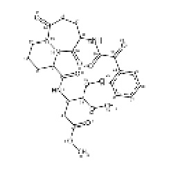 COC(=O)CC(NC(=O)C1CCCN2C(=O)CCC(NC(=O)C(=O)c3ccccc3)C(=O)N12)C(OC)OC